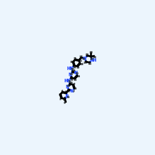 Cc1cccc(-c2nccc(Nc3ccnc(Nc4ccc(CN5CCNC(C)(C)C5)cc4)n3)n2)n1